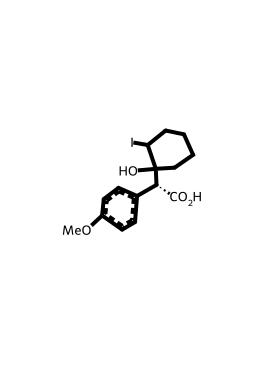 COc1ccc([C@@H](C(=O)O)C2(O)CCCCC2I)cc1